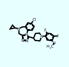 COc1cc(N2CCC(c3nnc4n3-c3ccc(Cl)cc3CN(C3CC3)C4)CC2)c(F)cc1F